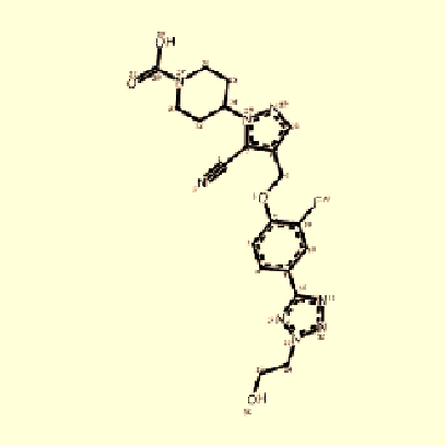 N#Cc1c(COc2ccc(-c3nnn(CCO)n3)cc2F)cnn1C1CCN(C(=O)O)CC1